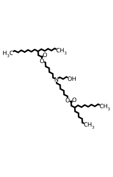 CCCCCCCCC(CCCCCC)CC(=O)OCCCCCCN(CCCO)CCCCCCOC(=O)CC(CCCCCC)CCCCCCCC